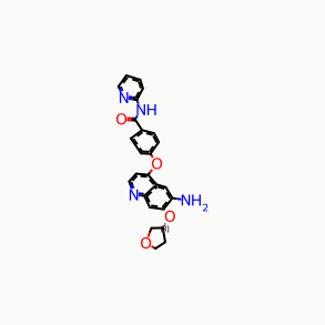 Nc1cc2c(Oc3ccc(C(=O)Nc4ccccn4)cc3)ccnc2cc1O[C@@H]1CCOC1